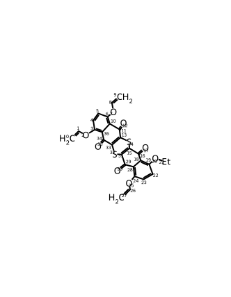 C=COc1ccc(OC=C)c2c(=O)c3sc4c(=O)c5c(OCC)ccc(OC=C)c5c(=O)c4sc3c(=O)c12